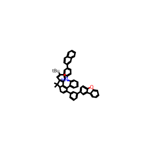 CC(C)(C)c1ccc2c(c1)C(C)(C)C1CC=C(c3cccc(-c4ccc5oc6ccccc6c5c4)c3)C(c3ccccc3Nc3ccc(-c4ccc5ccccc5c4)cc3)=C21